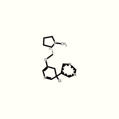 CN1CCC[C@H]1COC1=CN=CC(Cl)(c2cncnc2)C1